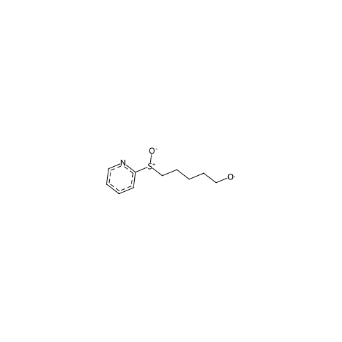 [O]CCCCC[S+]([O-])c1ccccn1